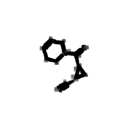 N#C[C@H]1C[C@@H]1C(=O)N1CC=CCC1